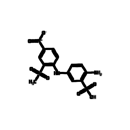 CS(=O)(=O)c1cc([N+](=O)[O-])ccc1Nc1ccc(N)c(S(=O)(=O)O)c1